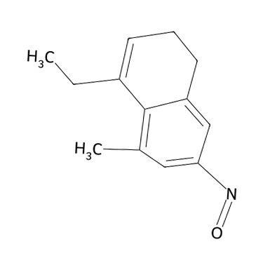 CCC1=CCCc2cc(N=O)cc(C)c21